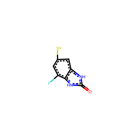 O=c1[nH]c2cc(S)cc(F)c2[nH]1